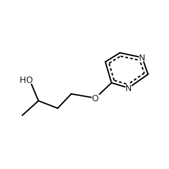 CC(O)CCOc1ccncn1